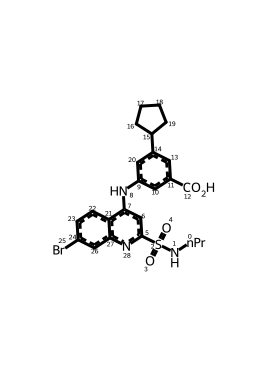 CCCNS(=O)(=O)c1cc(Nc2cc(C(=O)O)cc(C3CCCC3)c2)c2ccc(Br)cc2n1